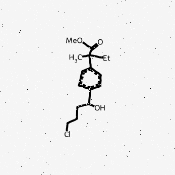 CCC(C)(C(=O)OC)c1ccc(C(O)CCCCl)cc1